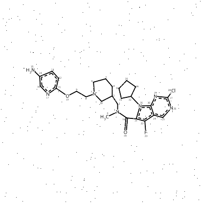 CN(CC1CCCN(CCOc2ccc(N)cn2)C1)C(=O)c1c(F)c2cnc(Cl)nc2n1C1CCCC1